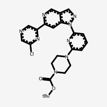 CC(C)(C)OC(=O)N1CCN(c2cccc(-n3ncc4cnc(-c5cncc(Cl)n5)cc43)n2)CC1